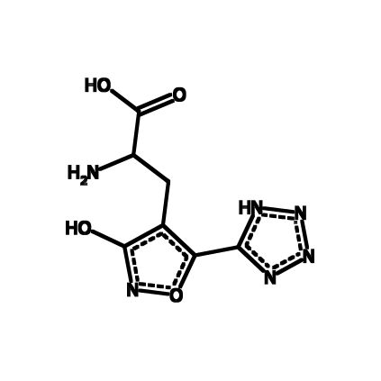 NC(Cc1c(O)noc1-c1nnn[nH]1)C(=O)O